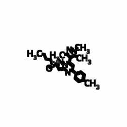 CCCC[S+]([O-])c1cc2nc(-c3ccc(C)cc3)cc(-c3c(C)nn(C)c3C)n2n1